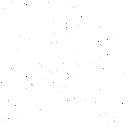 C[C@@H]1CN(C(=O)c2ncc(F)cc2-c2ncc(F)cn2)[C@H](CNc2ccc(C(F)(F)F)cn2)[C@H](C)O1